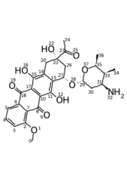 COc1cccc2c1C(=O)c1c(O)c3c(c(O)c1C2=O)C[C@@](O)(C(C)=O)C[C@@H]3O[C@H]1C[C@H](N)[C@H](C)[C@H](C)O1